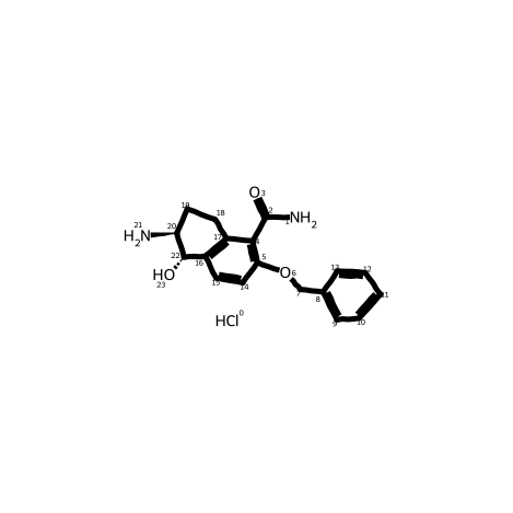 Cl.NC(=O)c1c(OCc2ccccc2)ccc2c1CC[C@H](N)[C@H]2O